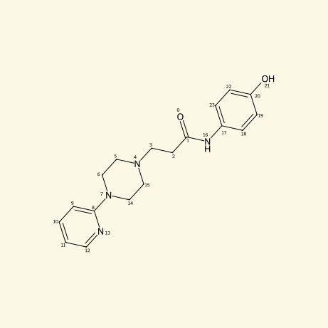 O=C(CCN1CCN(c2ccccn2)CC1)Nc1ccc(O)cc1